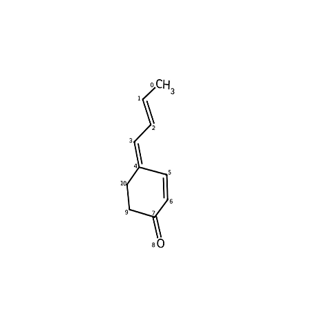 CC=CC=C1C=CC(=O)CC1